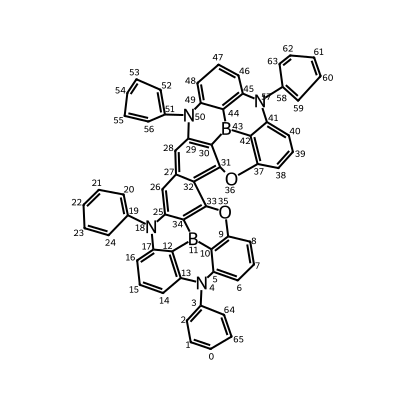 c1ccc(N2c3cccc4c3B3c5c2cccc5N(c2ccccc2)c2cc5cc6c7c(c5c(c23)O4)Oc2cccc3c2B7c2c(cccc2N6c2ccccc2)N3c2ccccc2)cc1